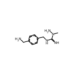 CN(N)C(=N)NCc1ccc(CN)cc1